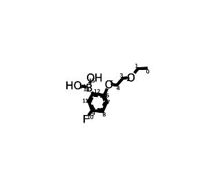 CCOCCOc1ccc(F)cc1B(O)O